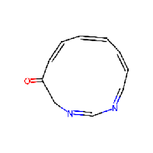 O=C1C=CC=CC=CC=NC=NC1